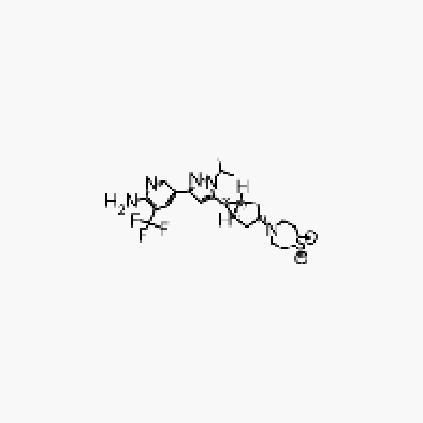 CC(C)n1nc(-c2cnc(N)c(C(F)(F)F)c2)cc1[C@H]1[C@@H]2C[C@@H](N3CCS(=O)(=O)CC3)C[C@@H]21